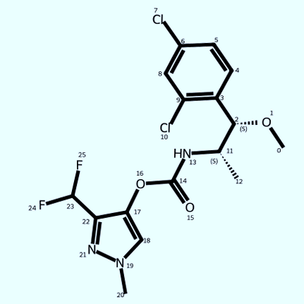 CO[C@@H](c1ccc(Cl)cc1Cl)[C@H](C)NC(=O)Oc1cn(C)nc1C(F)F